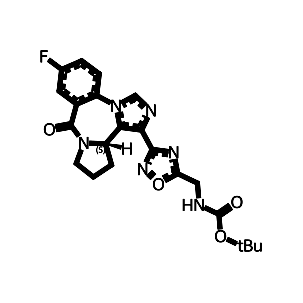 CC(C)(C)OC(=O)NCc1nc(-c2ncn3c2[C@@H]2CCCN2C(=O)c2cc(F)ccc2-3)no1